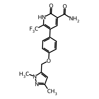 Cc1cc(COc2ccc(-c3cc(C(N)=O)c(=O)[nH]c3C(F)(F)F)cc2)n(C)n1